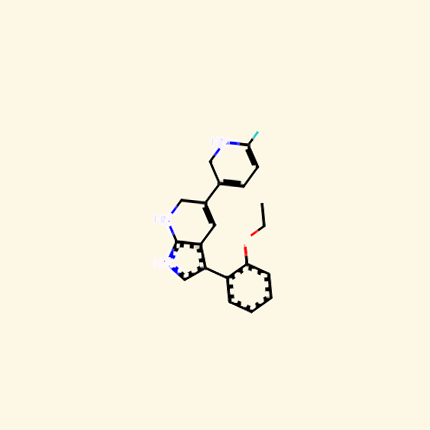 CCOc1ccccc1-c1c[nH]c2c1C=C(C1=CC=C(F)NC1)CN2